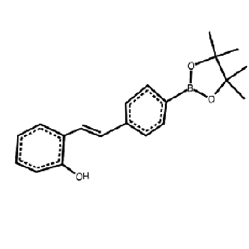 CC1(C)OB(c2ccc(/C=C/c3ccccc3O)cc2)OC1(C)C